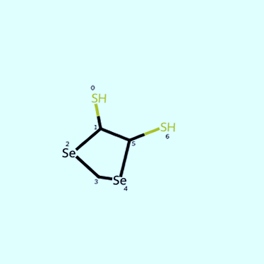 SC1[Se]C[Se]C1S